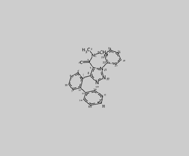 CN(C)C(=O)c1c(-c2ccccc2-c2ccccc2)nnn1-c1ccccc1